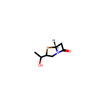 CC(O)C1CN2C(=O)C[C@H]2S1